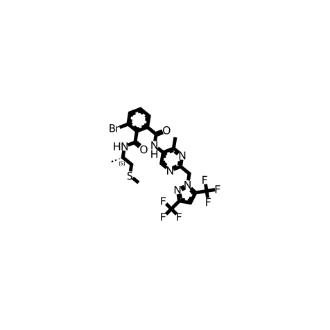 CSC[C@H](C)NC(=O)c1c(Br)cccc1C(=O)Nc1cnc(Cn2nc(C(F)(F)F)cc2C(F)(F)F)nc1C